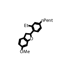 CCCCCc1ccc(C2Cc3ccc(OC)cc3O2)c(CC)c1